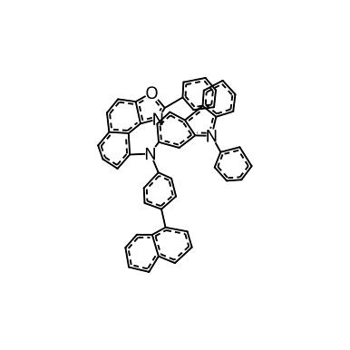 c1ccc(-c2nc3c(ccc4cccc(N(c5ccc(-c6cccc7ccccc67)cc5)c5ccc6c7ccccc7n(-c7ccccc7)c6c5)c43)o2)cc1